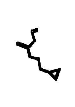 O=COC(=O)COCC1CC1